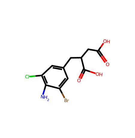 Nc1c(Cl)cc(CC(CC(=O)O)C(=O)O)cc1Br